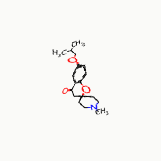 CC(C)COc1ccc2c(c1)C(=O)CC1(CCN(C)CC1)O2